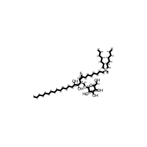 CCCCCCCCCCCCCC[C@@H](O)[C@@H](O)[C@@H](/C=C(/F)CCCCCCC[Si](C)(CCCCCCC)CCCCCCC)COC1OC(CO)C(O)C(O)C1O